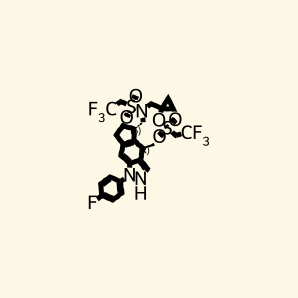 C[C@H]1C2=CNN(c3ccc(F)cc3)C2=CC2=C1[C@@H](CN(CC1(OS(=O)(=O)CC(F)(F)F)CC1)S(=O)(=O)CC(F)(F)F)CC2